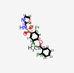 C[C@@H](Oc1cc(F)c(S(=O)(=O)Nc2nccs2)cc1Cl)c1ccccc1F